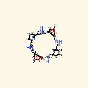 Cc1cc2c(O)c(c1)CNCc1cccc(n1)CNCc1cc(C)cc(c1O)CNCc1cccc(n1)CNC2